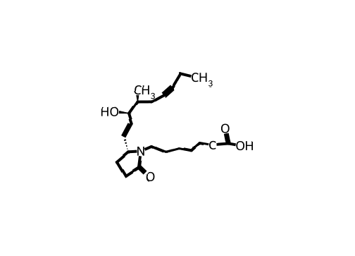 CCC#CC[C@H](C)[C@H](O)C=C[C@H]1CCC(=O)N1CCCCCCC(=O)O